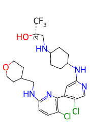 O[C@@H](CNC1CCC(Nc2cc(-c3nc(NCC4CCOCC4)ccc3Cl)c(Cl)cn2)CC1)C(F)(F)F